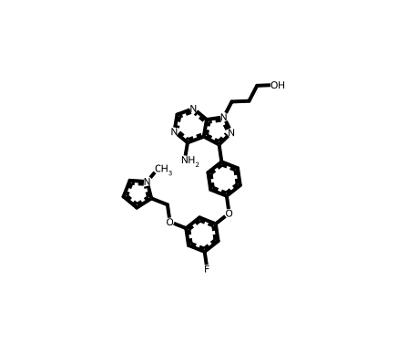 Cn1cccc1COc1cc(F)cc(Oc2ccc(-c3nn(CCCO)c4ncnc(N)c34)cc2)c1